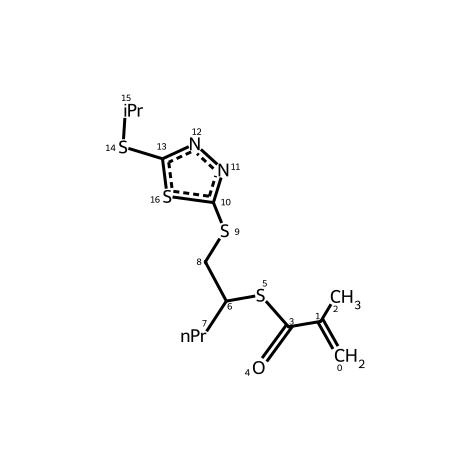 C=C(C)C(=O)SC(CCC)CSc1nnc(SC(C)C)s1